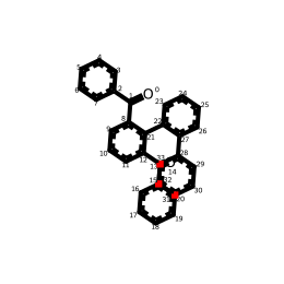 O=C(c1ccccc1)c1cccc(C(=O)c2ccccc2)c1-c1ccccc1-c1ccccc1